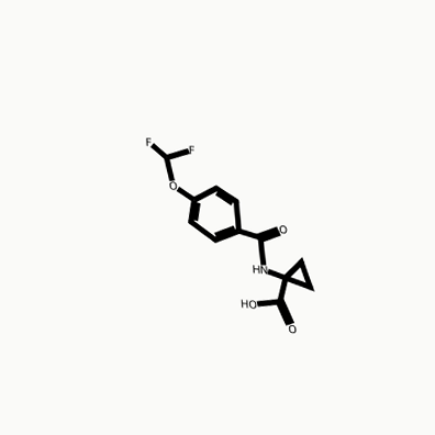 O=C(NC1(C(=O)O)CC1)c1ccc(OC(F)F)cc1